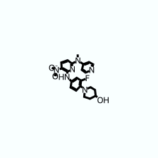 CN(c1ccncc1)c1ccc([N+](=O)[O-])c(Nc2ccc(N3CCC(O)CC3)c(F)c2)n1